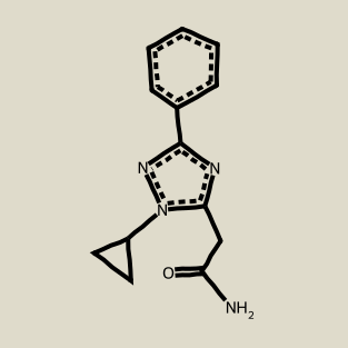 NC(=O)Cc1nc(-c2ccccc2)nn1C1CC1